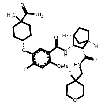 COc1cc(F)c(O[C@H]2CC[C@@](C)(C(N)=O)CC2)cc1C(=O)N[C@@H]1[C@H]2CC[C@H](C2)[C@@H]1C(=O)NCC1(F)CCOCC1